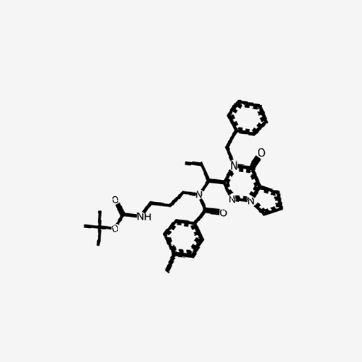 CCC(c1nn2cccc2c(=O)n1Cc1ccccc1)N(CCCNC(=O)OC(C)(C)C)C(=O)c1ccc(C)cc1